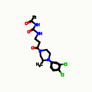 CCC(=O)NC(=O)NCCC(=O)N1CCN(c2ccc(Cl)c(Cl)c2)[C@@H](C)C1